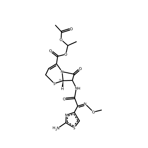 CON=C(C(=O)NC1C(=O)N2C(C(=O)OC(C)OC(C)=O)=CCS[C@@H]12)c1csc(N)n1